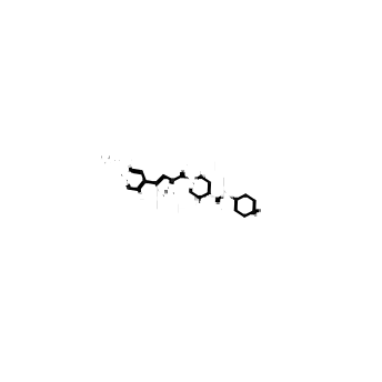 COc1cc(-c2cc(C(=O)N3C[C@H](C)[C@H](C(=O)NC4CCC(O)(C(F)(F)F)CC4)C[C@H]3C)n[nH]2)c(F)cn1